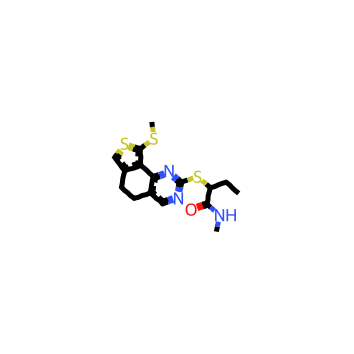 CCC(Sc1ncc2c(n1)-c1c(csc1SC)CC2)C(=O)NC